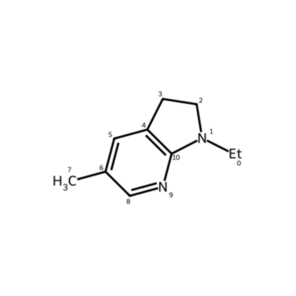 CCN1CCc2cc(C)cnc21